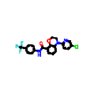 O=C(Nc1ccc(C(F)(F)F)cc1)c1cccc2c1OCCN2c1ccc(Cl)cn1